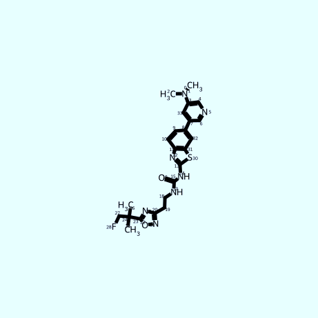 CN(C)c1cncc(-c2ccc3nc(NC(=O)NCCc4noc(C(C)(C)CF)n4)sc3c2)c1